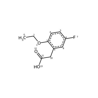 CCOc1ccc(F)cc1CC(=O)O